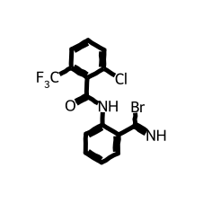 N=C(Br)c1ccccc1NC(=O)c1c(Cl)cccc1C(F)(F)F